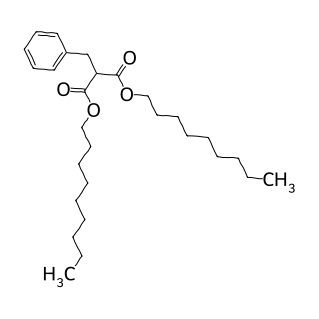 CCCCCCCCCOC(=O)C(Cc1ccccc1)C(=O)OCCCCCCCCC